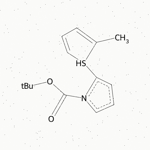 CC1=CC=C[SH]1c1cccn1C(=O)OC(C)(C)C